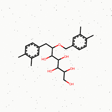 Cc1ccc(COC(Cc2ccc(C)c(C)c2)C(O)C(O)C(O)C(O)CO)cc1C